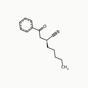 CCCCC[C@H](C#N)CC(=O)c1ccccc1